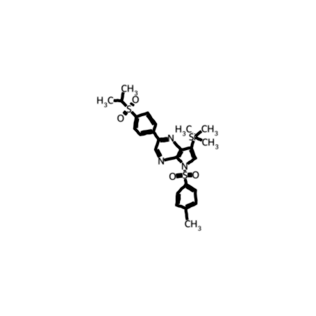 Cc1ccc(S(=O)(=O)n2cc([Si](C)(C)C)c3nc(-c4ccc(S(=O)(=O)C(C)C)cc4)cnc32)cc1